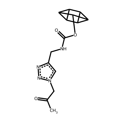 CC(=O)Cn1cc(CNC(=O)OC2C3C4C3C3C2C43)nn1